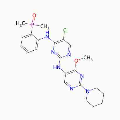 COc1nc(N2CCCCC2)ncc1Nc1ncc(Cl)c(Nc2ccccc2P(C)(C)=O)n1